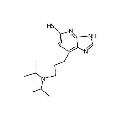 CC(C)N(CCCc1nc(S)nc2[nH]cnc12)C(C)C